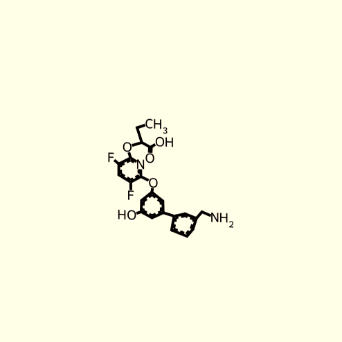 CCC(Oc1nc(Oc2cc(O)cc(-c3cccc(CN)c3)c2)c(F)cc1F)C(=O)O